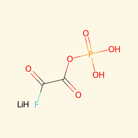 O=C(F)C(=O)OP(=O)(O)O.[LiH]